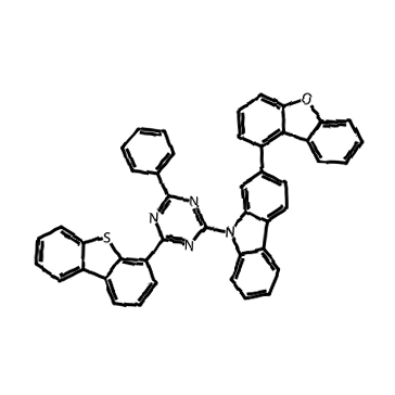 c1ccc(-c2nc(-c3cccc4c3sc3ccccc34)nc(-n3c4ccccc4c4ccc(-c5cccc6oc7ccccc7c56)cc43)n2)cc1